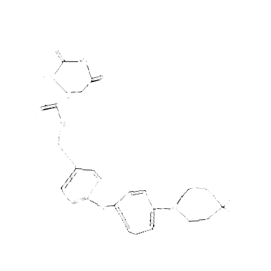 CC1(C)CCN(c2ccc(Nc3ccc(CNC(=O)[C@H]4CC(=O)NC(=O)N4)cc3)cc2)CC1